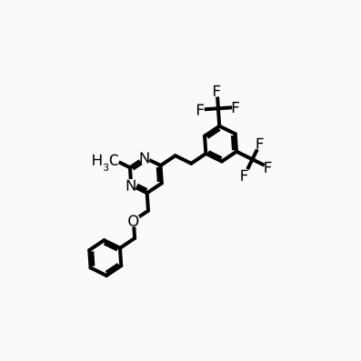 Cc1nc(CCc2cc(C(F)(F)F)cc(C(F)(F)F)c2)cc(COCc2ccccc2)n1